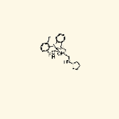 OS1(O)N(CCCNC2CCCC2)c2ccccc2N1c1c(F)cccc1F